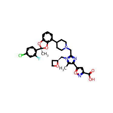 Cc1c(-c2cc(C(=O)O)no2)nc(CN2CCC(c3cccc4c3O[C@@](C)(c3ccc(Cl)cc3F)O4)CC2)n1C[C@@H]1CCO1